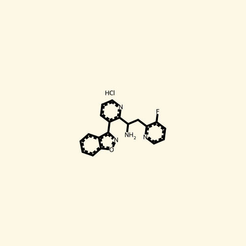 Cl.NC(Cc1ncccc1F)c1ncccc1-c1noc2ccccc12